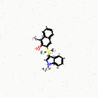 CCS(CC)(c1cc2ccccc2c(C(C)C)c1O)c1cn(C)c2ccccc12